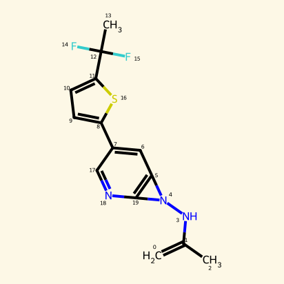 C=C(C)NN1c2cc(-c3ccc(C(C)(F)F)s3)cnc21